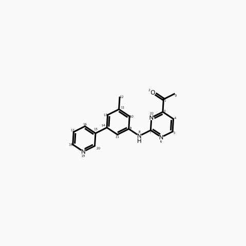 CC(=O)c1ccnc(Nc2cc(C)cc(-c3cccnc3)c2)n1